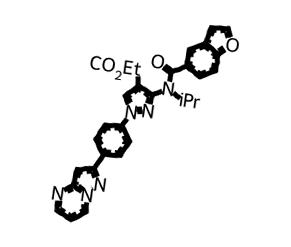 CCOC(=O)c1cn(-c2ccc(-c3cc4ncccn4n3)cc2)nc1N(C(=O)c1ccc2occc2c1)C(C)C